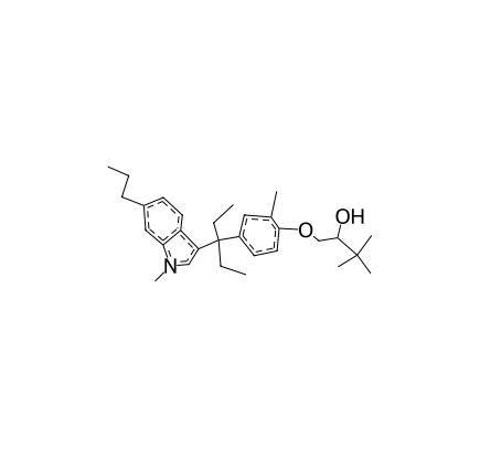 CCCc1ccc2c(C(CC)(CC)c3ccc(OCC(O)C(C)(C)C)c(C)c3)cn(C)c2c1